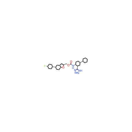 O=C(Nc1ccc(-c2ccccc2)cc1-c1nnn[nH]1)OCc1cc2cc(-c3ccc(F)cc3)ccc2o1